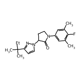 CCC(C)(C)c1ccn(C2CCN(c3cc(C)c(F)c(C)c3)C2=O)n1